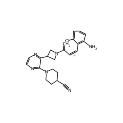 C=C(/C=C\c1c(N)cccc1Cl)N1CC(c2nccnc2N2CCC(C#N)CC2)C1